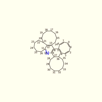 C1=C\C=C/C2=C(\C=C/1)c1c(nc3c4c1CCCCCCCC4CCCCC3)C1CCCCCCCCC21